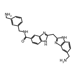 NCc1cccc(CNC(=O)c2ccc3[nH]c(Cc4nc5cc(CN)ccc5[nH]4)nc3c2)c1